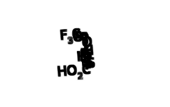 O=C(O)c1csc(C2CC[C@@H]3C(CCOc4cccc(OC(F)(F)F)c4)CC[C@@H]3O2)n1